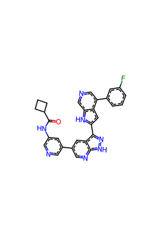 O=C(Nc1cncc(-c2cnc3[nH]nc(-c4cc5c(-c6cccc(F)c6)cncc5[nH]4)c3c2)c1)C1CCC1